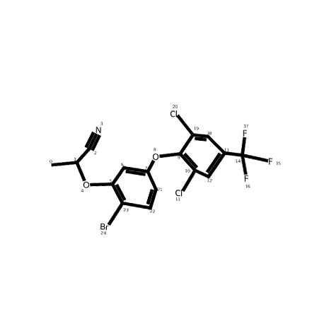 CC(C#N)Oc1cc(Oc2c(Cl)cc(C(F)(F)F)cc2Cl)ccc1Br